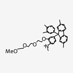 COCCOCCOCCOc1cc(C2(c3ccc(C)c(C)c3)c3cc(C)ccc3-c3ccc(C)cc32)ccc1N(C)C